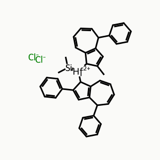 CC1=CC2=C(C=CC=CC2c2ccccc2)[CH]1[Hf+2]([CH]1C(c2ccccc2)=CC2=C1C=CC=CC2c1ccccc1)=[Si](C)C.[Cl-].[Cl-]